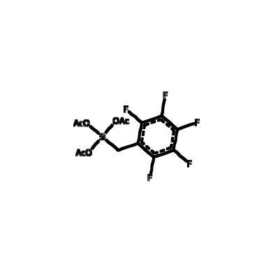 CC(=O)O[Si](Cc1c(F)c(F)c(F)c(F)c1F)(OC(C)=O)OC(C)=O